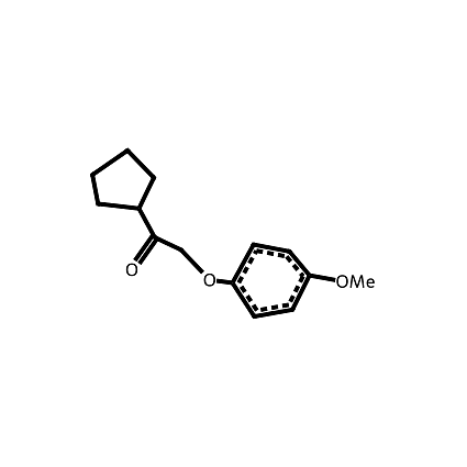 COc1ccc(OCC(=O)C2CCCC2)cc1